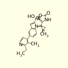 CCc1nccc(-c2ccc3c(c2)cc(C(=O)O)n3[C@@]2(c3noc(=O)[nH]3)C[C@H]2C)c1C